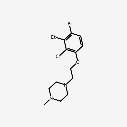 CCc1c(Br)ccc(OCCN2CCN(C)CC2)c1Cl